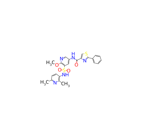 COc1ncc(NC(=O)c2csc(-c3ccccc3)n2)cc1S(=O)(=O)Nc1ccc(C)nc1C